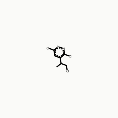 CC(CCl)c1cc(Cl)nnc1Cl